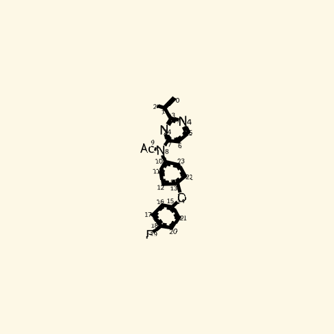 C=C(C)c1nccc(N(C(C)=O)c2ccc(Oc3ccc(F)cc3)cc2)n1